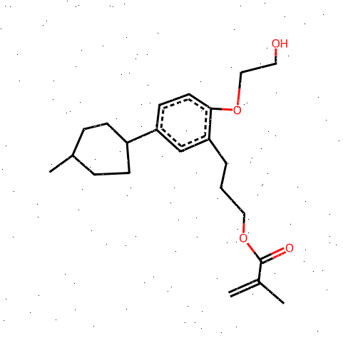 C=C(C)C(=O)OCCCc1cc(C2CCC(C)CC2)ccc1OCCO